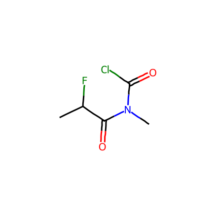 CC(F)C(=O)N(C)C(=O)Cl